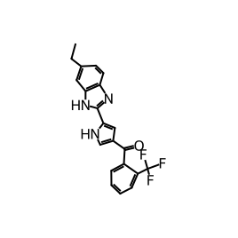 CCc1ccc2nc(-c3cc(C(=O)c4ccccc4C(F)(F)F)c[nH]3)[nH]c2c1